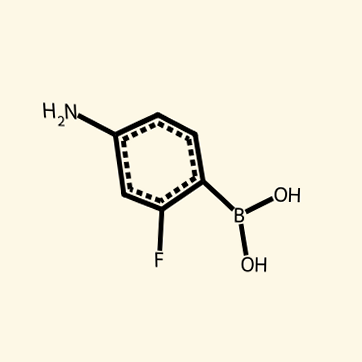 Nc1ccc(B(O)O)c(F)c1